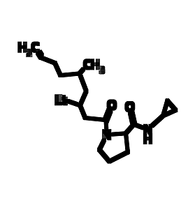 C=CCCC(C)CC(CC)CC(=O)N1CCCC1C(=O)NC1CC1